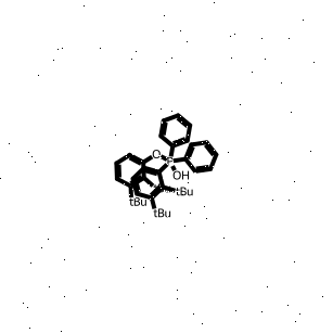 CC(C)(C)c1cccc(OP(O)(c2ccccc2)(c2ccccc2)c2cccc(C(C)(C)C)c2C(C)(C)C)c1C(C)(C)C